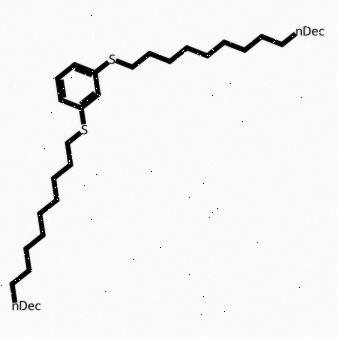 CCCCCCCCCCCCCCCCCCCSc1c[c]cc(SCCCCCCCCCCCCCCCCCCC)c1